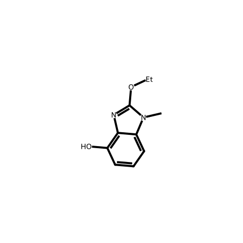 CCOc1nc2c(O)cccc2n1C